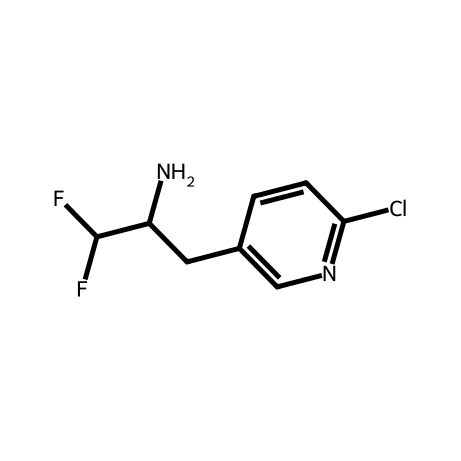 NC(Cc1ccc(Cl)nc1)C(F)F